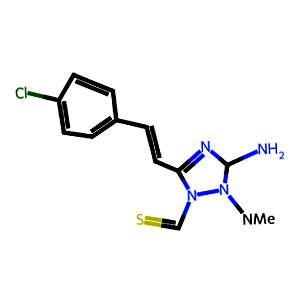 CNN1C(N)N=C(C=Cc2ccc(Cl)cc2)N1C=S